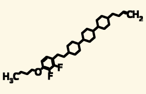 C=CCCC1CCC(C2CCC(C3CCC(CCc4ccc(OCCCC)c(F)c4F)CC3)CC2)CC1